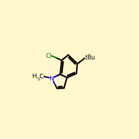 Cn1ccc2cc(C(C)(C)C)cc(Cl)c21